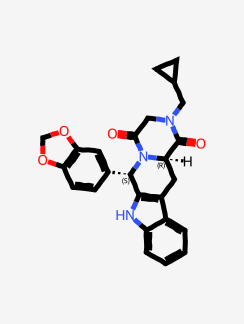 O=C1[C@H]2Cc3c([nH]c4ccccc34)[C@H](c3ccc4c(c3)OCO4)N2C(=O)CN1CC1CC1